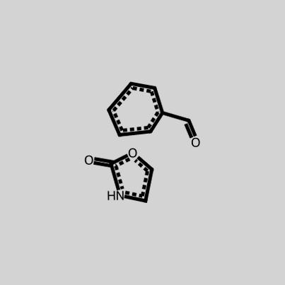 O=Cc1ccccc1.O=c1[nH]cco1